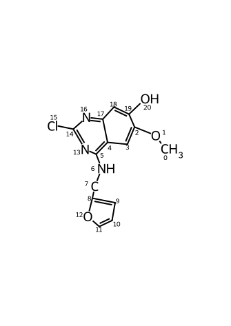 COc1cc2c(NCc3ccco3)nc(Cl)nc2cc1O